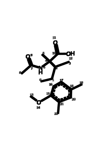 CCC(C)C(C)(NC(C)=O)C(=O)O.COc1ccc(C)cc1C